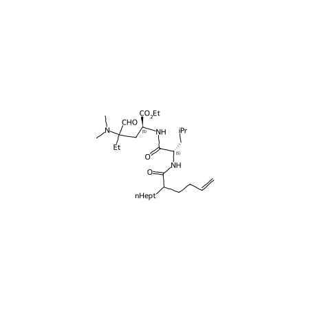 C=CCCC(CCCCCCC)C(=O)N[C@@H](CC(C)C)C(=O)N[C@@H](CC(C=O)(CC)N(C)C)C(=O)OCC